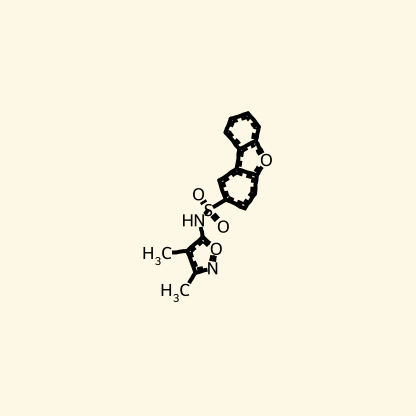 Cc1noc(NS(=O)(=O)c2ccc3oc4ccccc4c3c2)c1C